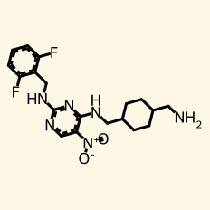 NCC1CCC(CNc2nc(NCc3c(F)cccc3F)ncc2[N+](=O)[O-])CC1